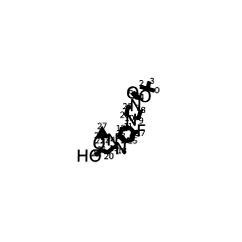 CC(C)(C)OC(=O)N1CCN(c2cc3c(cc2F)nc(CC(=O)O)n3C2CC2)CC1